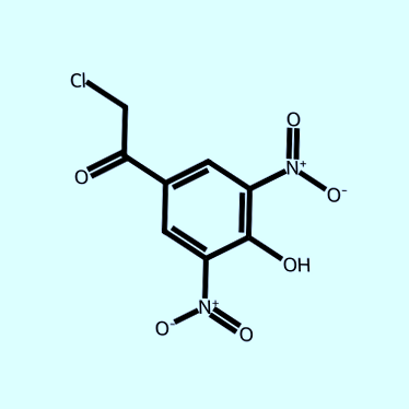 O=C(CCl)c1cc([N+](=O)[O-])c(O)c([N+](=O)[O-])c1